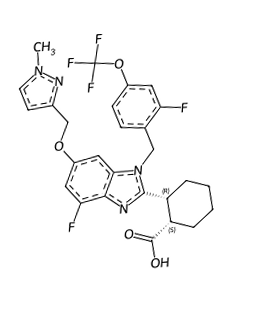 Cn1ccc(COc2cc(F)c3nc([C@@H]4CCCC[C@@H]4C(=O)O)n(Cc4ccc(OC(F)(F)F)cc4F)c3c2)n1